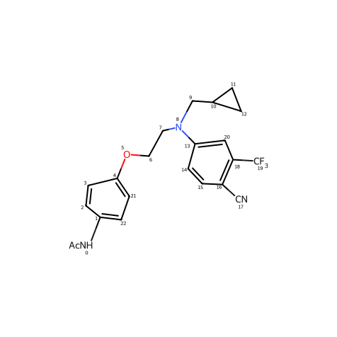 CC(=O)Nc1ccc(OCCN(CC2CC2)c2ccc(C#N)c(C(F)(F)F)c2)cc1